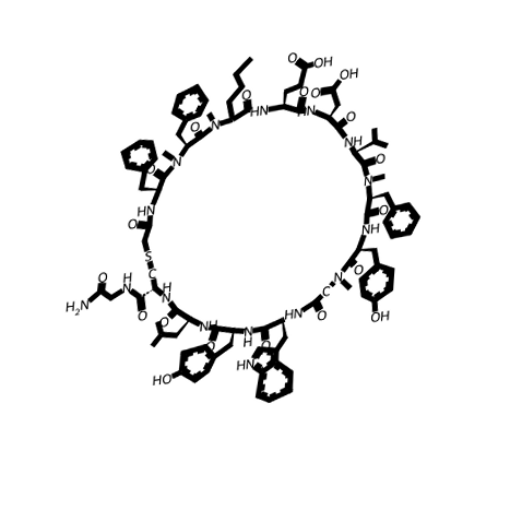 CCCCC1C(=O)N[C@@H](CCC(=O)O)C(=O)N[C@@H](CC(=O)O)C(=O)N[C@@H](C(C)C)C(=O)N(C)[C@@H](Cc2ccccc2)C(=O)N[C@@H](Cc2ccc(O)cc2)C(=O)N(C)CC(=O)N[C@@H](Cc2c[nH]c3ccccc23)C(=O)N[C@@H](Cc2ccc(O)cc2)C(=O)N[C@@H](CC(C)C)C(=O)N[C@H](C(=O)NCC(N)=O)CSCC(=O)N[C@@H](Cc2ccccc2)C(=O)N(C)[C@@H](Cc2ccccc2)C(=O)N1C